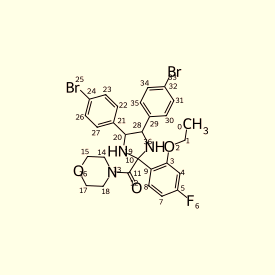 CCOc1cc(F)ccc1C1(C(=O)N2CCOCC2)NC(c2ccc(Br)cc2)C(c2ccc(Br)cc2)N1